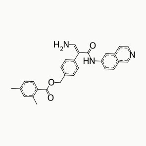 Cc1ccc(C(=O)OCc2ccc(/C(=C\N)C(=O)Nc3ccc4cnccc4c3)cc2)c(C)c1